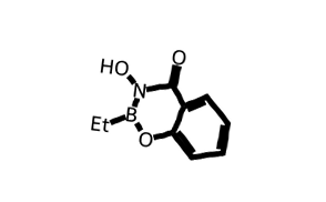 CCB1Oc2ccccc2C(=O)N1O